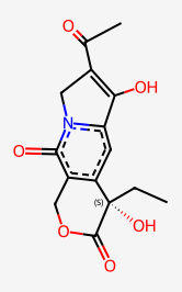 CC[C@@]1(O)C(=O)OCc2c1cc1n(c2=O)CC(C(C)=O)=C1O